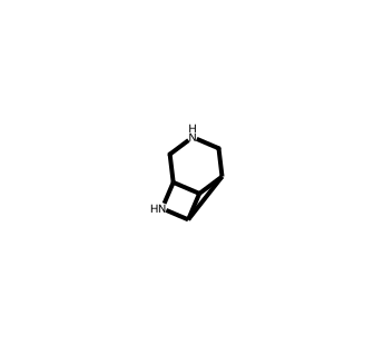 C1NCC2C3NC1C23